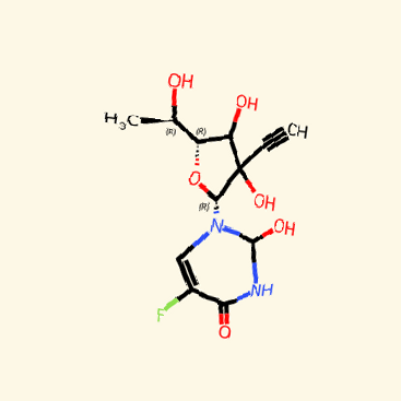 C#CC1(O)C(O)[C@@H]([C@@H](C)O)O[C@H]1N1C=C(F)C(=O)NC1O